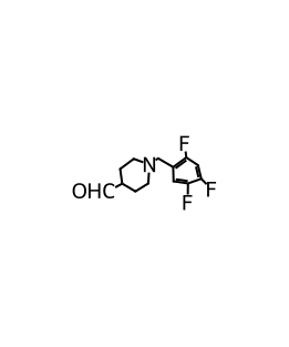 O=CC1CCN(Cc2cc(F)c(F)cc2F)CC1